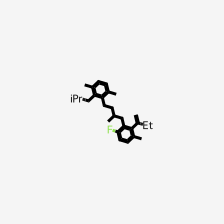 C=C(CC)c1c(C)ccc(F)c1CC(C)CCc1c(C)ccc(C)c1CC(C)C